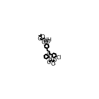 COC(=O)C(=O)N(c1ccccc1)c1cc(Cl)ccc1C(=O)CCc1ccc(S(=O)(=O)NC2COC(C)(C)O2)cc1